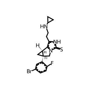 Fc1ccc(Br)cc1[C@]12C[C@H]1c1c(CCNC3CC3)[nH]c(=S)n1C2